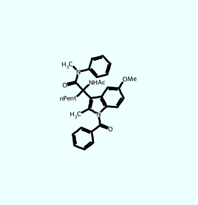 CCCCCC(NC(C)=O)(C(=O)N(C)c1ccccc1)c1c(C)n(C(=O)c2ccccc2)c2ccc(OC)cc12